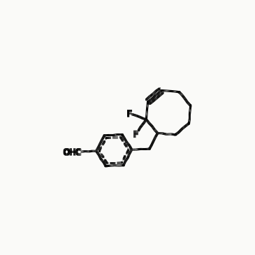 O=Cc1ccc(CC2CCCCC#CC2(F)F)cc1